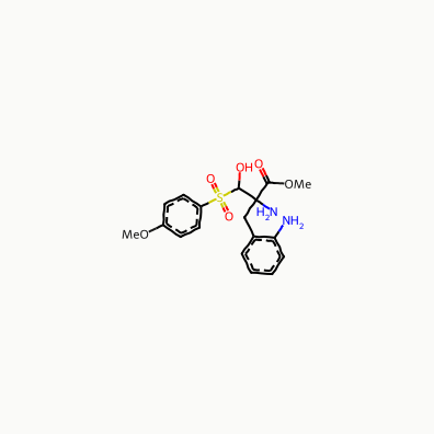 COC(=O)C(N)(Cc1ccccc1N)C(O)S(=O)(=O)c1ccc(OC)cc1